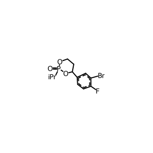 CC(C)P1(=O)OCCC(c2ccc(F)c(Br)c2)O1